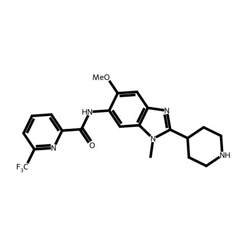 COc1cc2nc(C3CCNCC3)n(C)c2cc1NC(=O)c1cccc(C(F)(F)F)n1